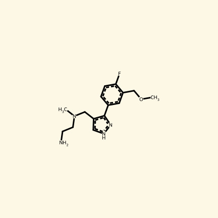 COCc1cc(-c2n[nH]cc2CN(C)CCN)ccc1F